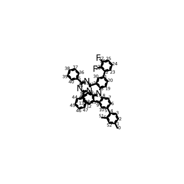 Cc1ccc(-c2ccc3c(c2)c2ccccc2n3-c2ccc(-c3cccc(F)c3F)cc2-c2nc(-c3ccccc3)nc(-c3ccccc3)n2)c(C)c1